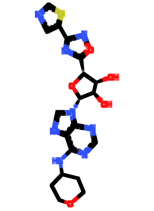 O[C@@H]1[C@H](O)[C@@H](c2nc(-c3cncs3)no2)O[C@H]1n1cnc2c(NC3CCOCC3)ncnc21